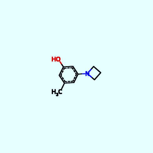 Cc1cc(O)cc(N2CCC2)c1